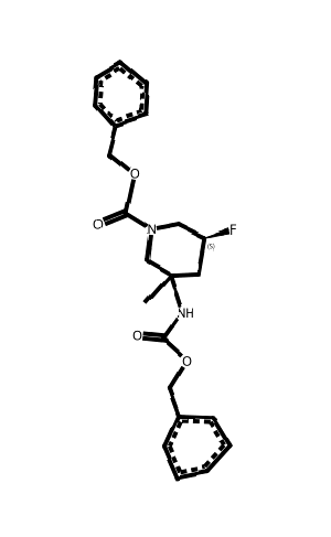 CC1(NC(=O)OCc2ccccc2)C[C@H](F)CN(C(=O)OCc2ccccc2)C1